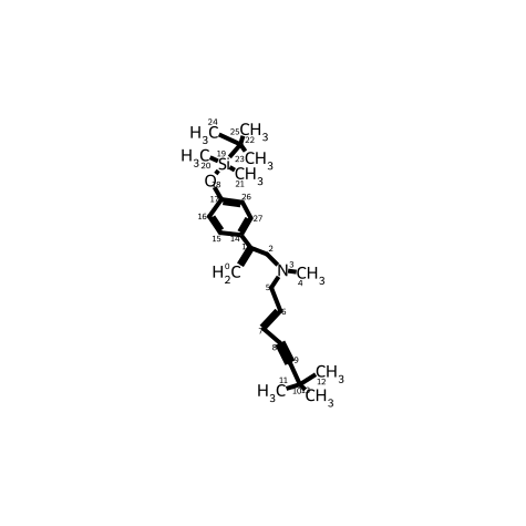 C=C(CN(C)C/C=C/C#CC(C)(C)C)c1ccc(O[Si](C)(C)C(C)(C)C)cc1